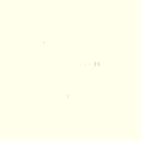 CCCC(CC(C)=O)C(=O)O